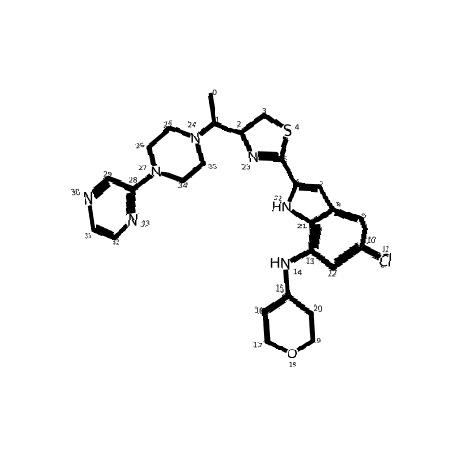 CC(C1CSC(c2cc3cc(Cl)cc(NC4CCOCC4)c3[nH]2)=N1)N1CCN(c2cnccn2)CC1